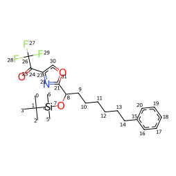 CC(C)(C)[Si](C)(C)OC(CCCCCCc1ccccc1)c1nc(C(=O)C(F)(F)F)co1